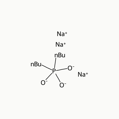 CCCCP([O-])([O-])([O-])CCCC.[Na+].[Na+].[Na+]